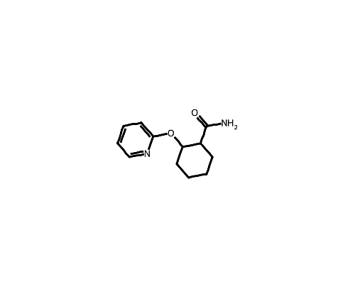 NC(=O)C1CCCCC1Oc1ccccn1